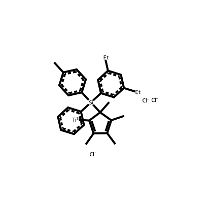 CCc1cc(CC)cc([Si](c2ccccc2)(c2ccc(C)cc2)C2(C)C(C)=C(C)C(C)=[C]2[Ti+3])c1.[Cl-].[Cl-].[Cl-]